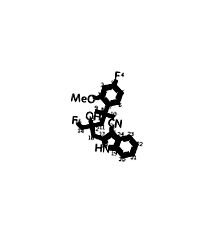 COc1cc(F)ccc1C(C)(C)CC(O)(CF)Cc1[nH]c2ccccc2c1C#N